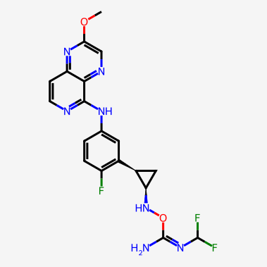 COc1cnc2c(Nc3ccc(F)c([C@H]4C[C@H]4NO/C(N)=N\C(F)F)c3)nccc2n1